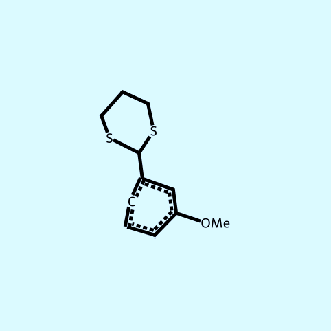 COc1[c]ccc(C2SCCCS2)c1